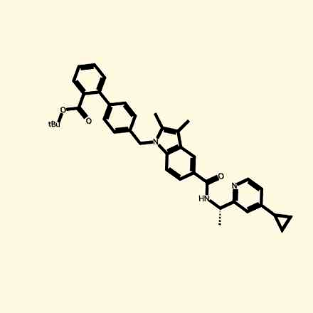 Cc1c(C)n(Cc2ccc(-c3ccccc3C(=O)OC(C)(C)C)cc2)c2ccc(C(=O)N[C@@H](C)c3cc(C4CC4)ccn3)cc12